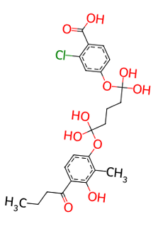 CCCC(=O)c1ccc(OC(O)(O)CCCC(O)(O)Oc2ccc(C(=O)O)c(Cl)c2)c(C)c1O